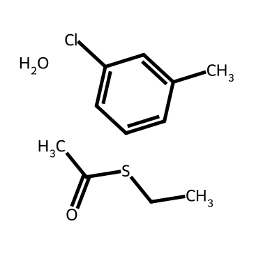 CCSC(C)=O.Cc1cccc(Cl)c1.O